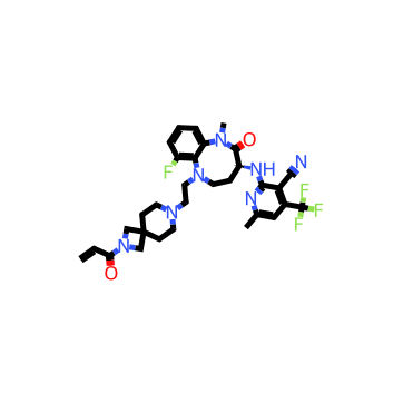 C=CC(=O)N1CC2(CCN(CCN3CC[C@H](Nc4nc(C)cc(C(F)(F)F)c4C#N)C(=O)N(C)c4cccc(F)c43)CC2)C1